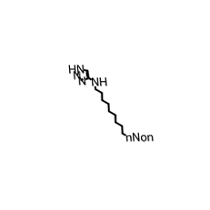 CCCCCCCCCCCCCCCCCCNc1c[nH]nn1